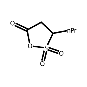 CCCC1CC(=O)OS1(=O)=O